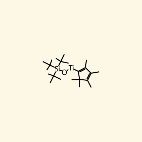 CC1=C(C)C(C)(C)[C]([Ti][O][Si](C(C)(C)C)(C(C)(C)C)C(C)(C)C)=C1C